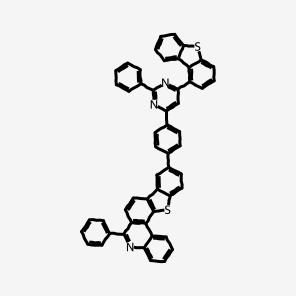 c1ccc(-c2nc(-c3ccc(-c4ccc5sc6c(ccc7c(-c8ccccc8)nc8ccccc8c76)c5c4)cc3)cc(-c3cccc4sc5ccccc5c34)n2)cc1